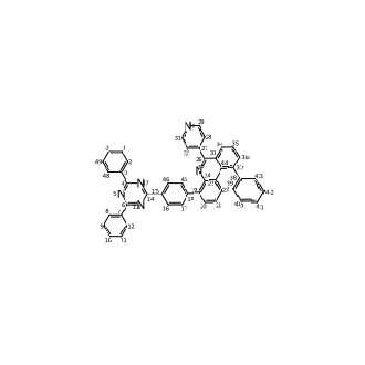 c1ccc(-c2nc(-c3ccccc3)nc(-c3ccc(-c4cccc5c4nc(-c4ccncc4)c4cccc(-c6ccccc6)c45)cc3)n2)cc1